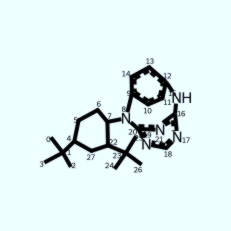 CC(C)(C)C1CCC(N2c3ccc(cc3)Nc3ncnc2n3)C(C(C)(C)C)C1